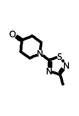 Cc1nsc(N2CCC(=O)CC2)n1